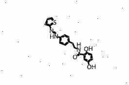 O=C(NCCc1ccc(NC=Nc2cccs2)cc1)c1cc(O)ccc1O